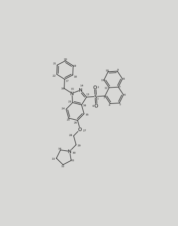 O=S(=O)(c1cccc2ccccc12)c1nn(Cc2ccccc2)c2ccc(OCCN3CCCC3)cc12